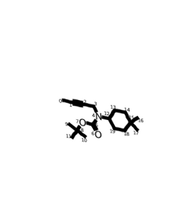 CC#CCN(C(=O)OC(C)(C)C)C1CCC(C)(C)CC1